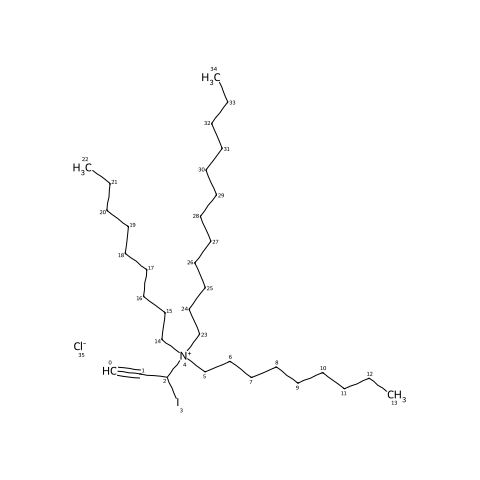 C#CC(I)[N+](CCCCCCCCC)(CCCCCCCCC)CCCCCCCCCCCC.[Cl-]